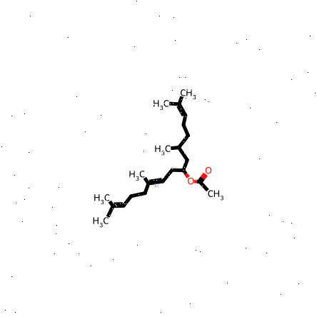 CC(=O)OC(C/C=C(\C)CCC=C(C)C)CC(C)CCC=C(C)C